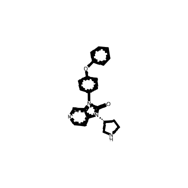 O=c1n(-c2ccc(Oc3ccccc3)cc2)c2cnccc2n1[C@@H]1CCNC1